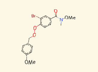 COc1ccc(COOc2ccc(C(=O)N(C)OC)cc2Br)cc1